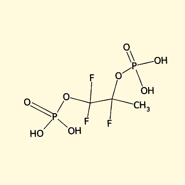 CC(F)(OP(=O)(O)O)C(F)(F)OP(=O)(O)O